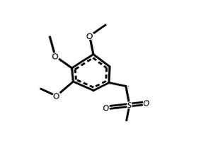 COc1cc([CH]S(C)(=O)=O)cc(OC)c1OC